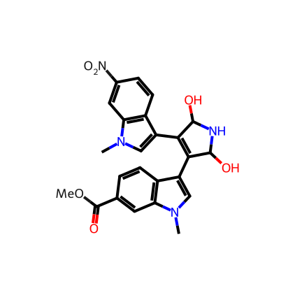 COC(=O)c1ccc2c(C3=C(c4cn(C)c5cc([N+](=O)[O-])ccc45)C(O)NC3O)cn(C)c2c1